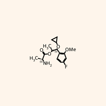 COc1cc(F)ccc1[C@H](OC1CC1)[C@H](C)OC(=O)[C@H](C)N